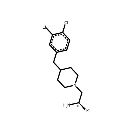 CC(C)[C@@H](N)CN1CCC(Cc2ccc(Cl)c(Cl)c2)CC1